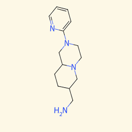 NCC1CCC2CN(c3ccccn3)CCN2C1